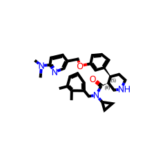 Cc1cccc(CN(C(=O)[C@H]2CNCC[C@@H]2c2cccc(OCc3ccc(N(C)C)nc3)c2)C2CC2)c1C